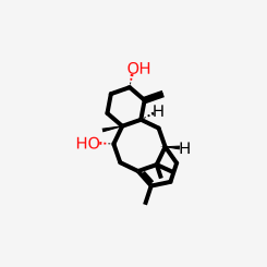 C=C1[C@H]2C[C@@H]3CCC(C)=C(C[C@H](O)[C@]2(C)CC[C@@H]1O)C3(C)C